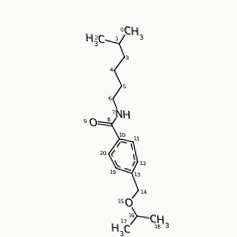 CC(C)CCCCNC(=O)c1ccc(COC(C)C)cc1